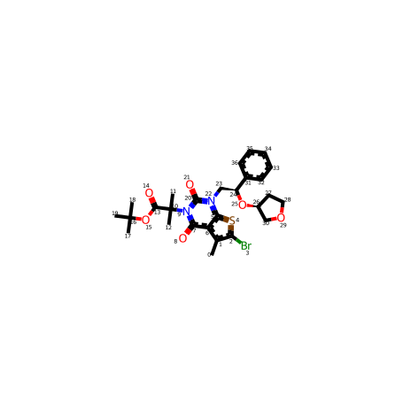 Cc1c(Br)sc2c1c(=O)n(C(C)(C)C(=O)OC(C)(C)C)c(=O)n2C[C@H](O[C@H]1CCOC1)c1ccccc1